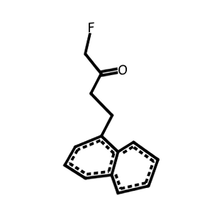 O=C(CF)CCc1cccc2ccccc12